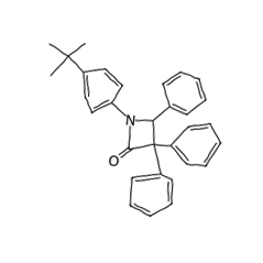 CC(C)(C)c1ccc(N2C(=O)C(c3ccccc3)(c3ccccc3)C2c2ccccc2)cc1